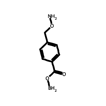 BOC(=O)c1ccc(CON)cc1